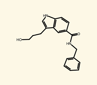 O=C(NCc1ccccc1)c1ccc2[nH]cc(CCCO)c2c1